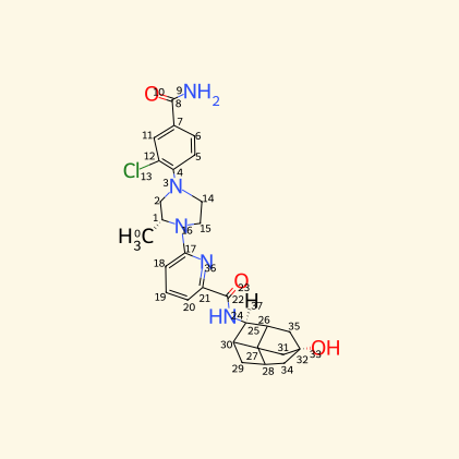 C[C@@H]1CN(c2ccc(C(N)=O)cc2Cl)CCN1c1cccc(C(=O)N[C@H]2C3CC4CC2C[C@](O)(C4)C3)n1